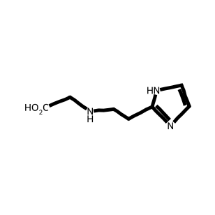 O=C(O)CNCCc1ncc[nH]1